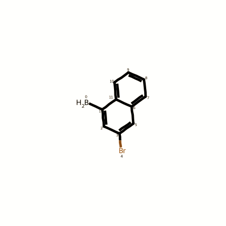 Bc1cc(Br)cc2ccccc12